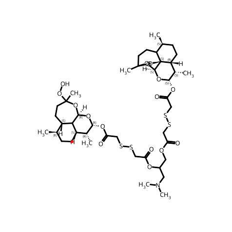 C[C@@H]1[C@H](OC(=O)CSSCC(=O)OCC(CN(C)C)OC(=O)CSSCC(=O)O[C@H]2O[C@@H]3OC(C)(OO)CC[C@@H]4C3[C@@H](CC[C@H]4C)[C@H]2C)O[C@H]2OC3(C)CCC4[C@@H](C)CC[C@H]1[C@@]42OO3